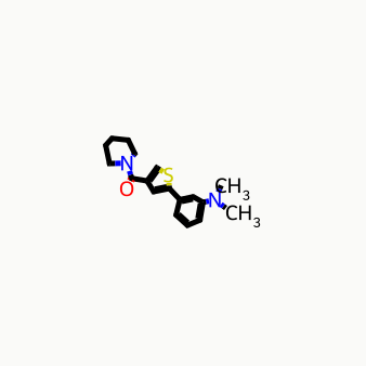 CN(C)c1cccc(-c2cc(C(=O)N3CCCCC3)cs2)c1